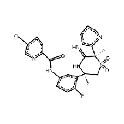 C[C@@]1(c2ccccn2)C(=N)N[C@](C)(c2cc(NC(=O)c3ccc(Cl)cn3)ccc2F)CS1(=O)=O